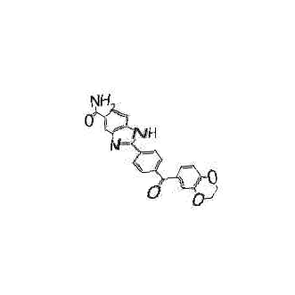 NC(=O)c1ccc2[nH]c(-c3ccc(C(=O)c4ccc5c(c4)OCCO5)cc3)nc2c1